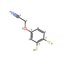 N#CCOc1[c]cc(F)c(F)c1